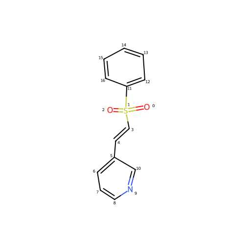 O=S(=O)(/C=C/c1cccnc1)c1ccccc1